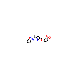 COC(=O)c1cccc(OC[C@@H]2CC[C@@H]3CN(c4noc5ccccc45)CCN3C2)c1